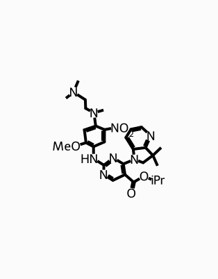 COc1cc(N(C)CCN(C)C)c([N+](=O)[O-])cc1Nc1ncc(C(=O)OC(C)C)c(N2CC(C)(C)c3ncccc32)n1